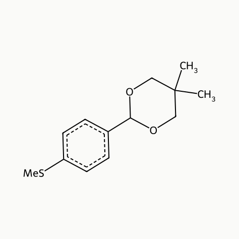 CSc1ccc(C2OCC(C)(C)CO2)cc1